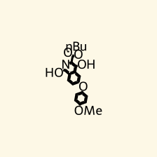 CCCCOC(=O)c1nc(O)c2ccc(Oc3ccc(OC)cc3)cc2c1O